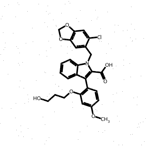 COc1ccc(-c2c(C(=O)O)n(Cc3cc4c(cc3Cl)OCO4)c3ccccc23)c(OCCCO)c1